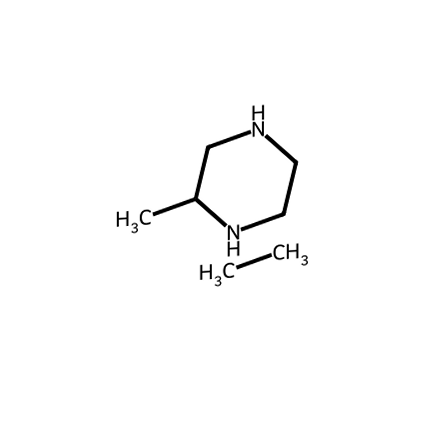 CC.CC1CNCCN1